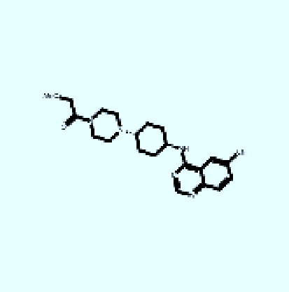 COCC(=O)N1CCN([C@H]2CC[C@H](Nc3ncnc4ccc(C#N)cc34)CC2)CC1